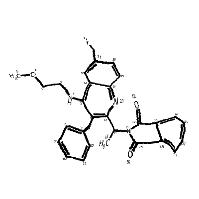 COCCNc1c(-c2ccccc2)c(C(C)N2C(=O)c3ccccc3C2=O)nc2ccc(F)cc12